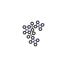 c1ccc([Si](c2ccccc2)(c2ccc3c(c2)-c2ccccc2B2c4ccccc4-c4ccccc4N23)c2ccc3c(c2)-c2ccccc2B2c4ccccc4-c4ccc([Si](c5ccccc5)(c5ccccc5)c5ccc6c(c5)-c5ccccc5N5B6c6ccccc6-c6ccccc65)cc4N23)cc1